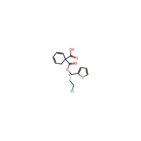 O=C(O)C1(C(=O)O[C@@H](CCCl)c2cccs2)C=CC=CC1